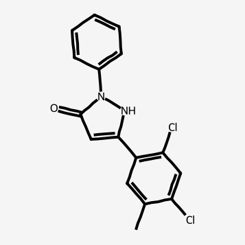 Cc1cc(-c2cc(=O)n(-c3ccccc3)[nH]2)c(Cl)cc1Cl